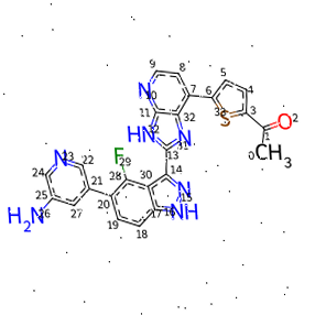 CC(=O)c1ccc(-c2ccnc3[nH]c(-c4n[nH]c5ccc(-c6cncc(N)c6)c(F)c45)nc23)s1